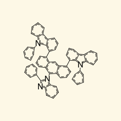 c1ccc(-c2nc3ccccc3n2-c2c3cccc(-c4cccc5c6ccccc6n(-c6ccccc6)c45)c3cc3c(-c4cccc5c6ccccc6n(-c6ccccc6)c45)cccc23)cc1